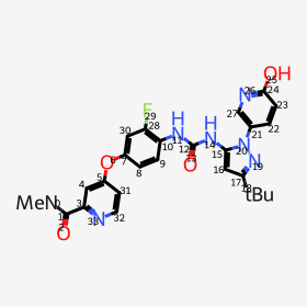 CNC(=O)c1cc(Oc2ccc(NC(=O)Nc3cc(C(C)(C)C)nn3-c3ccc(O)nc3)c(F)c2)ccn1